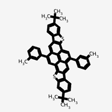 Cc1cccc(-c2cc3c4sc5cc(C(C)(C)C)ccc5c4cc4c(-c5cccc(C)c5)cc5c6sc7cc(C(C)(C)C)ccc7c6cc2c5c43)c1